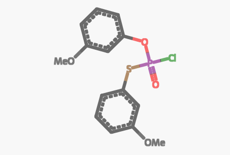 COc1cccc(OP(=O)(Cl)Sc2cccc(OC)c2)c1